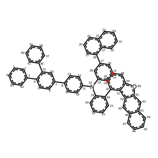 c1ccc(-c2ccc(-c3ccc(N(c4cccc(-c5cccc6ccccc56)c4)c4ccccc4-c4cccc5oc6cc7ccccc7cc6c45)cc3)cc2-c2ccccc2)cc1